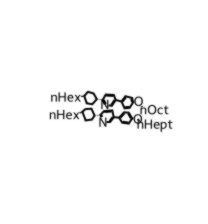 CCCCCCCCOc1ccc(-c2ccc([C@H]3CC[C@H](CCCCCC)CC3)nc2)cc1.CCCCCCCOc1ccc(-c2ccc([C@H]3CC[C@H](CCCCCC)CC3)nc2)cc1